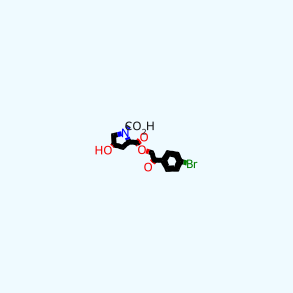 O=C(COC(=O)C1CC(O)CN1C(=O)O)c1ccc(Br)cc1